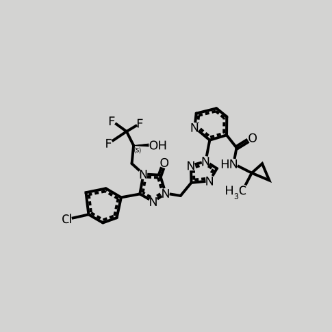 CC1(NC(=O)c2cccnc2-n2cnc(Cn3nc(-c4ccc(Cl)cc4)n(C[C@H](O)C(F)(F)F)c3=O)n2)CC1